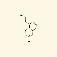 BrCCc1cccc2cc(Br)ccc12